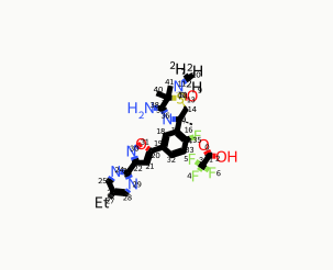 O=C(O)C(F)(F)F.[2H]C([2H])([2H])N=[S@@]1(=O)C[C@@](C)(c2cc(-c3cc(-c4ncc(CC)cn4)no3)ccc2F)N=C(N)C1(C)C